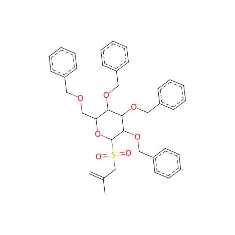 C=C(C)CS(=O)(=O)C1OC(COCc2ccccc2)C(OCc2ccccc2)C(OCc2ccccc2)C1OCc1ccccc1